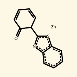 O=C1C=CC=CC1c1nc2ccccc2s1.[Zn]